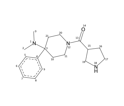 CN(C)C1(c2ccccc2)CCN(C(=O)C2CCNC2)CC1